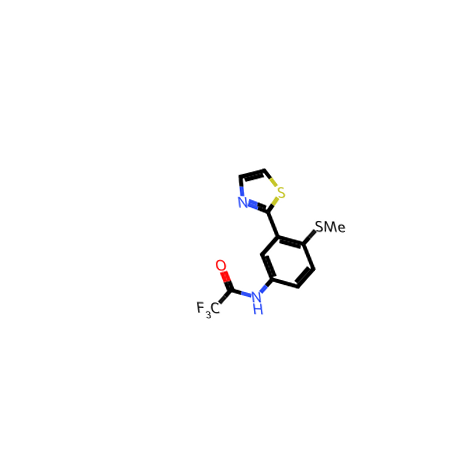 CSc1ccc(NC(=O)C(F)(F)F)cc1-c1nccs1